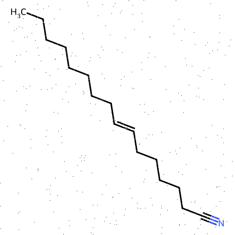 CCCCCCCCC=CCCCCCC#N